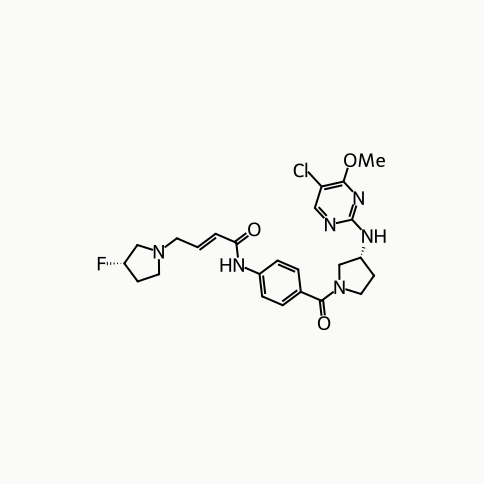 COc1nc(N[C@@H]2CCN(C(=O)c3ccc(NC(=O)/C=C/CN4CC[C@H](F)C4)cc3)C2)ncc1Cl